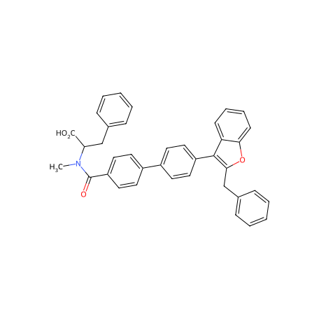 CN(C(=O)c1ccc(-c2ccc(-c3c(Cc4ccccc4)oc4ccccc34)cc2)cc1)C(Cc1ccccc1)C(=O)O